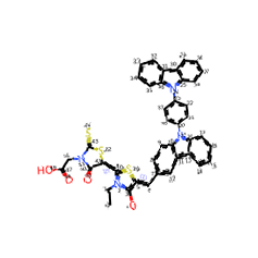 CCn1c(=O)/c(=C/c2ccc3c(c2)c2ccccc2n3-c2ccc(-n3c4ccccc4c4ccccc43)cc2)s/c1=C1\SC(=S)N(CC(=O)O)C1=O